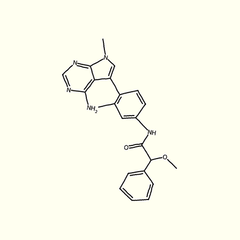 COC(C(=O)Nc1ccc(-c2cn(C)c3ncnc(N)c23)c(C)c1)c1ccccc1